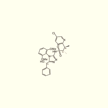 COc1cccc(OC)c1-n1c(NS(=O)(=O)[C@@H](C)[C@H](C)c2ncc(Cl)cn2)nnc1[C@@H](O)c1ccccc1